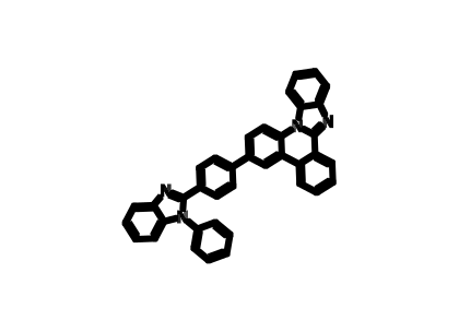 c1ccc(-n2c(-c3ccc(-c4ccc5c(c4)c4ccccc4c4nc6ccccc6n54)cc3)nc3ccccc32)cc1